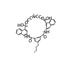 CCCCc1cc2cc(c1)C(=O)Nc1cc(c3ccccc3c1)[C@@H](O)OCCN(C)CCO[C@@H](O)c1cc(cc3ccccc13)NC2=O